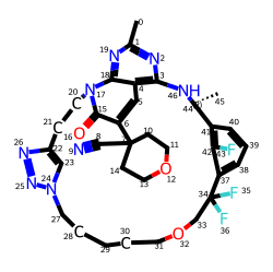 Cc1nc2c3cc(C4(C#N)CCOCC4)c(=O)n(c3n1)CCc1cn(nn1)CCCCCOCC(F)(F)c1cccc(c1F)[C@@H](C)N2